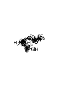 CCc1cc(N2C(=S)N(c3cnc(C#N)c(C(F)(F)F)c3)C(=O)C23CCC3)ccc1OCCC1CCN(C(C(N)=O)c2cccc(NC3CCC(=O)NC3=O)c2)C(C)(C)C1.Cl